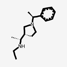 CCN[C@H](C)[C@H]1CCN([C@@H](C)c2ccccc2)C1